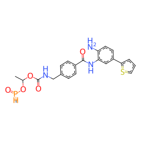 CC(OC(=O)NCc1ccc(C(=O)Nc2cc(-c3cccs3)ccc2N)cc1)O[PH](C)=O